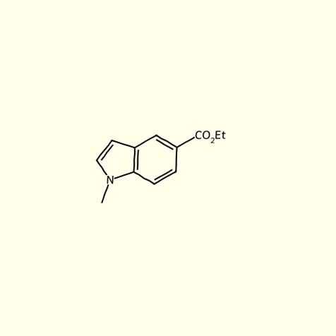 CCOC(=O)c1ccc2c(ccn2C)c1